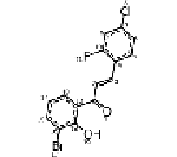 O=C(/C=C/c1ccc(Cl)cc1F)c1cccc(Br)c1O